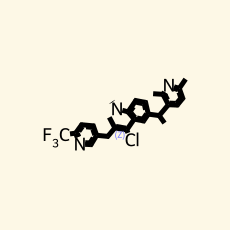 C=Nc1ccc(C(C)c2ccc(C)nc2C)cc1/C(Cl)=C(\C)Cc1ccc(C(F)(F)F)nc1